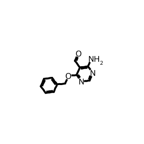 Nc1ncnc(OCc2ccccc2)c1C=O